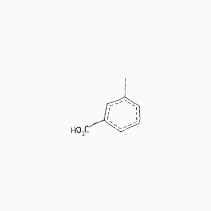 Cc1c[c]cc(C(=O)O)c1